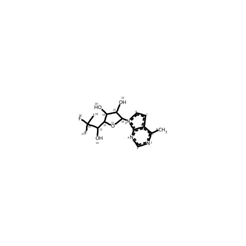 Cc1ncnc2c1ccn2C1OC(C(O)C(F)(F)I)C(O)C1O